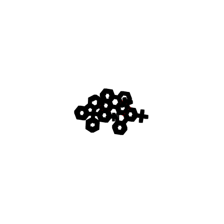 CC(C)(C)c1cc(-c2ccccc2N(c2ccc(C3(c4ccccc4)c4ccccc4C4C=CC=CC43)cc2)c2ccccc2-c2cccc3cccc(C4CCCCC4)c23)cc(C(C)(C)C)c1